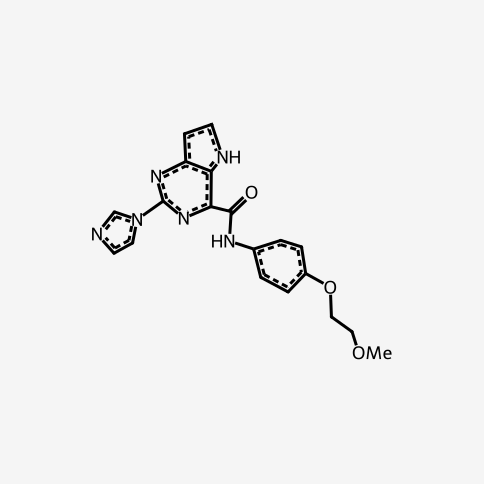 COCCOc1ccc(NC(=O)c2nc(-n3ccnc3)nc3cc[nH]c23)cc1